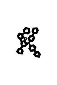 c1ccc(-c2ccc(N(c3ccc(-c4ccccc4)cc3)c3cc(-c4ccccc4)cc4c3oc3c(-c5ccccc5)cccc34)cc2)cc1